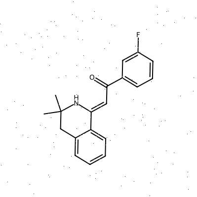 CC1(C)Cc2ccccc2C(=CC(=O)c2cccc(F)c2)N1